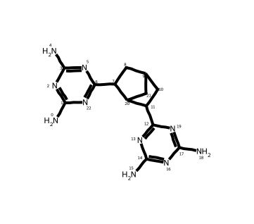 Nc1nc(N)nc(C2CC3CC(c4nc(N)nc(N)n4)C2C3)n1